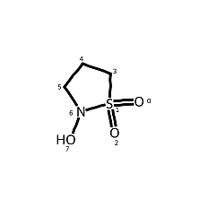 O=S1(=O)CCCN1O